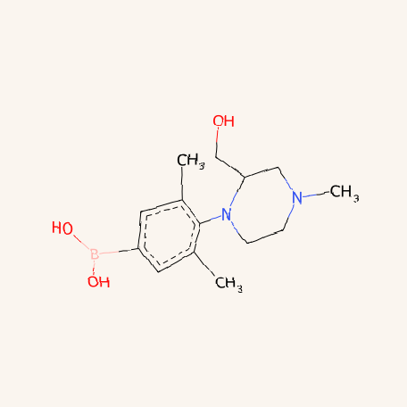 Cc1cc(B(O)O)cc(C)c1N1CCN(C)CC1CO